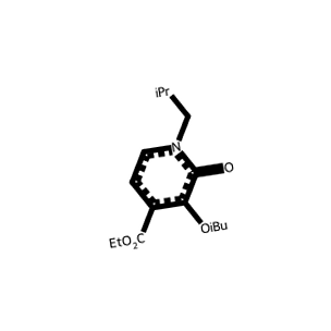 CCOC(=O)c1ccn(CC(C)C)c(=O)c1OCC(C)C